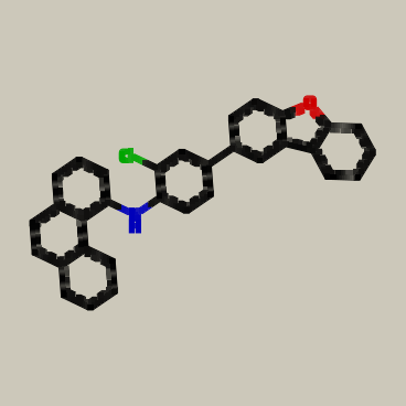 Clc1cc(-c2ccc3oc4ccccc4c3c2)ccc1Nc1cccc2ccc3ccccc3c12